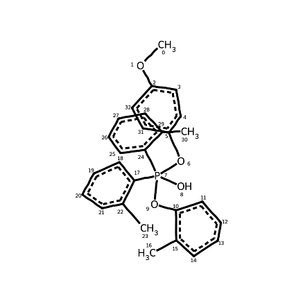 COc1ccc(OP(O)(Oc2ccccc2C)(c2ccccc2C)c2ccccc2C)cc1